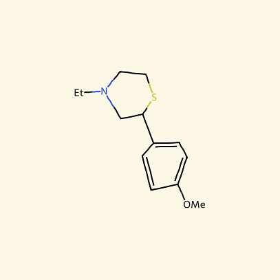 CCN1CCSC(c2ccc(OC)cc2)C1